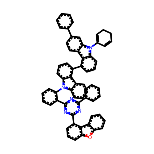 C1=CC(n2c3cc(-c4ccccc4)ccc3c3c(-c4cccc5c4c4ccccc4n5-c4ccccc4-c4nc(-c5ccccc5)nc(-c5cccc6oc7ccccc7c56)n4)cccc32)=CCC1